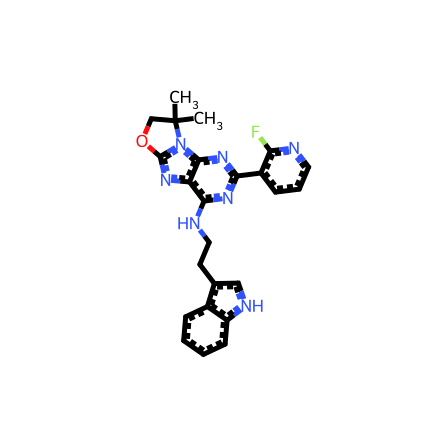 CC1(C)COc2nc3c(NCCc4c[nH]c5ccccc45)nc(-c4cccnc4F)nc3n21